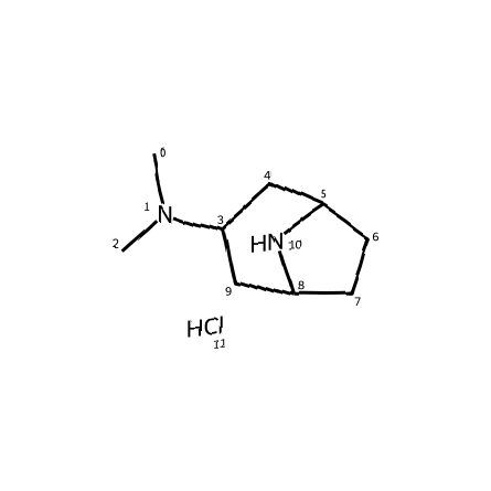 CN(C)C1CC2CCC(C1)N2.Cl